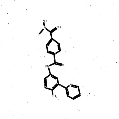 CCCN(I)C(=N)c1ccc(C(=O)Nc2ccc(C)c(-c3ccccn3)c2)cc1